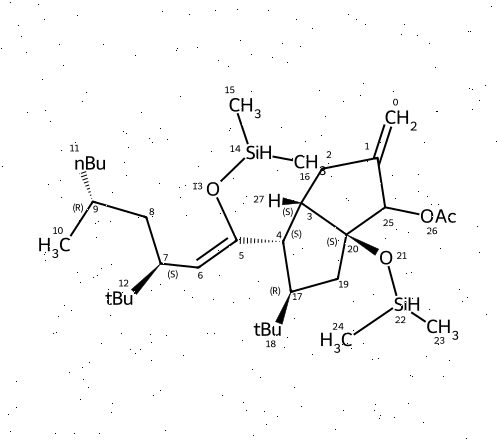 C=C1C[C@H]2[C@@H](C(=C[C@H](C[C@H](C)CCCC)C(C)(C)C)O[SiH](C)C)[C@H](C(C)(C)C)C[C@@]2(O[SiH](C)C)C1OC(C)=O